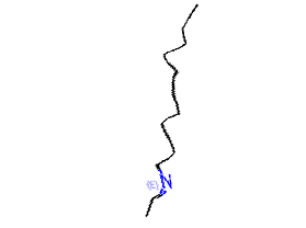 C/C=N/CCCCCCCCCC